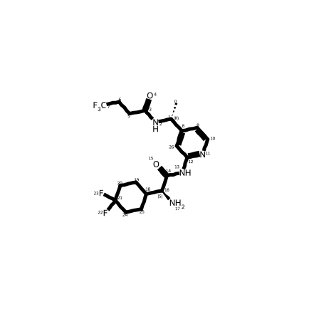 C[C@@H](NC(=O)CCC(F)(F)F)c1ccnc(NC(=O)[C@@H](N)C2CCC(F)(F)CC2)c1